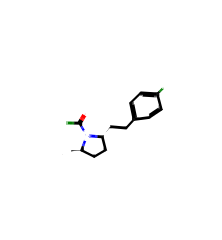 C[C@@H]1CC[C@H](CCc2ccc(F)cc2)N1C(=O)Cl